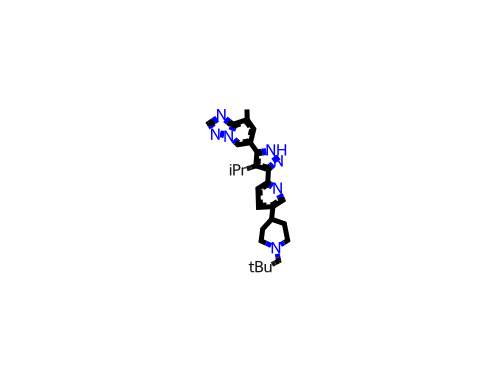 Cc1cc(-c2[nH]nc(-c3ccc(C4CCN(CC(C)(C)C)CC4)cn3)c2C(C)C)cn2ncnc12